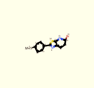 CSc1ccc(-c2nc3ccc(Br)nc3s2)cc1